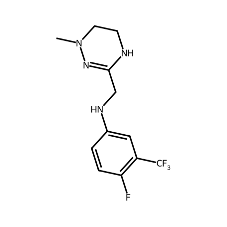 CN1CCNC(CNc2ccc(F)c(C(F)(F)F)c2)=N1